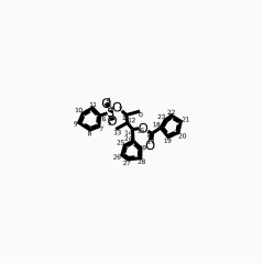 CC(OS(=O)(=O)c1ccccc1)C(C)C(OC(=O)c1ccccc1)c1ccccc1